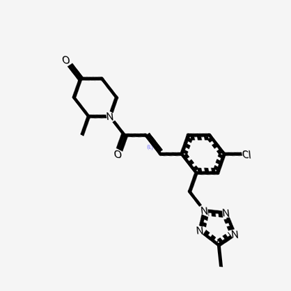 Cc1nnn(Cc2cc(Cl)ccc2/C=C/C(=O)N2CCC(=O)CC2C)n1